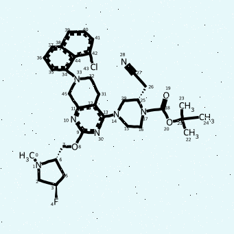 CN1C[C@H](F)C[C@H]1COc1nc2c(c(N3CCN(C(=O)OC(C)(C)C)[C@@H](CC#N)C3)n1)CCN(c1cccc3cccc(Cl)c13)C2